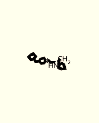 C=CC1(NCCCN2CCC(Cc3ccccc3)CC2)C=CC=CC1